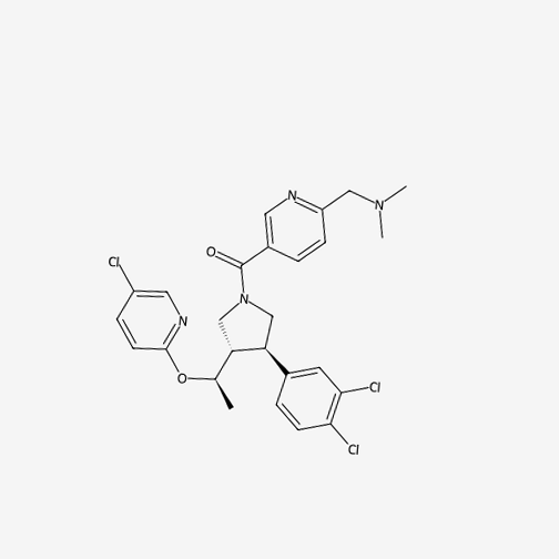 C[C@@H](Oc1ccc(Cl)cn1)[C@@H]1CN(C(=O)c2ccc(CN(C)C)nc2)C[C@H]1c1ccc(Cl)c(Cl)c1